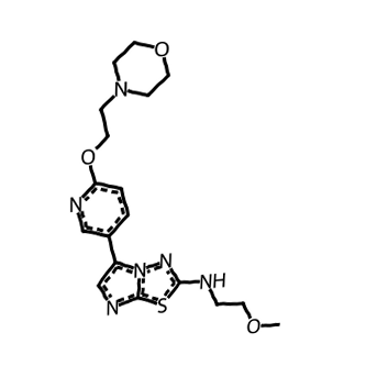 COCCNc1nn2c(-c3ccc(OCCN4CCOCC4)nc3)cnc2s1